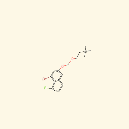 C[Si](C)(C)CCOCOc1cc(Br)c2c(F)cccc2c1